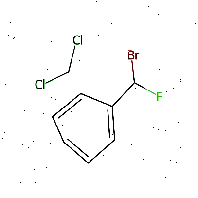 ClCCl.FC(Br)c1ccccc1